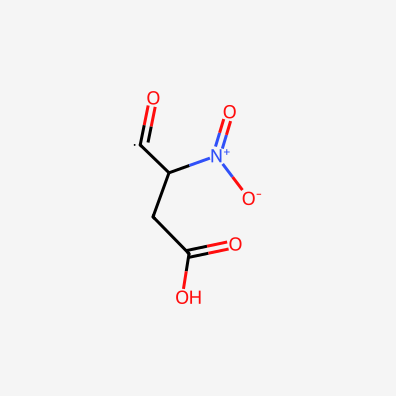 O=[C]C(CC(=O)O)[N+](=O)[O-]